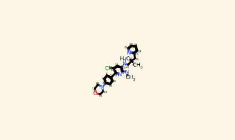 C=Nc1nc(-c2ccc(N3CCOCC3)cc2)c(Cl)cc1NCC(C)(C)Cc1ccccn1